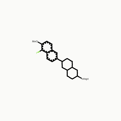 CCCCCCCC1CCC2CC(c3ccc4c(F)c(OC)ccc4c3)CCC2C1